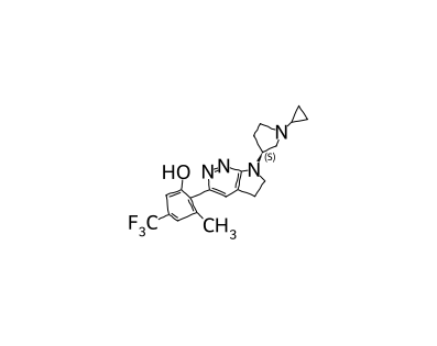 Cc1cc(C(F)(F)F)cc(O)c1-c1cc2c(nn1)N([C@H]1CCN(C3CC3)C1)CC2